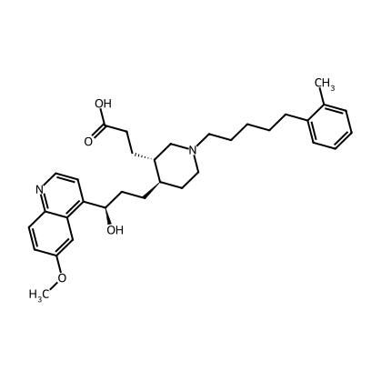 COc1ccc2nccc([C@H](O)CC[C@@H]3CCN(CCCCCc4ccccc4C)C[C@H]3CCC(=O)O)c2c1